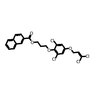 O=C(OCCCOc1c(Cl)cc(OCC=C(Cl)Cl)cc1Cl)c1ccc2ccccc2c1